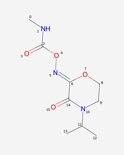 CNC(=O)ON=C1OCCN(C(C)C)C1=O